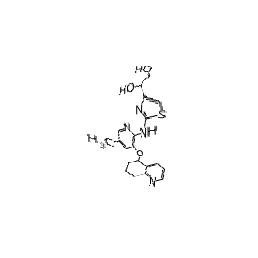 Cc1cnc(Nc2nc(C(O)CO)cs2)c(OC2CCCc3ncccc32)c1